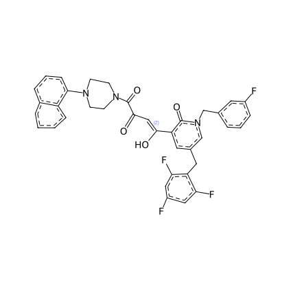 O=C(/C=C(\O)c1cc(Cc2c(F)cc(F)cc2F)cn(Cc2cccc(F)c2)c1=O)C(=O)N1CCN(c2cccc3ccccc23)CC1